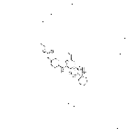 CCCC[C@H](NC(=O)C1(NC)CCCCC1)C(=O)C(=O)NC1CCC(=CC(=O)OCC)CC1